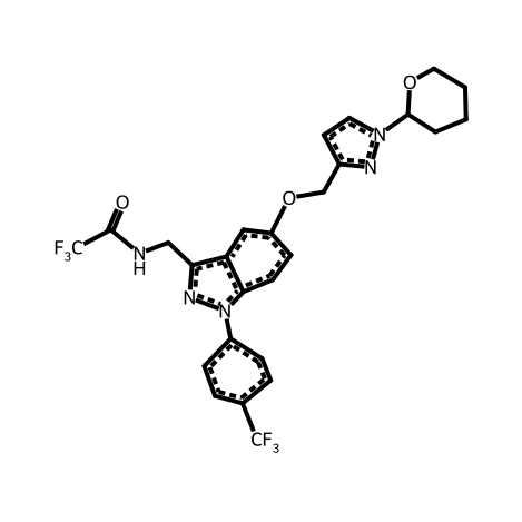 O=C(NCc1nn(-c2ccc(C(F)(F)F)cc2)c2ccc(OCc3ccn(C4CCCCO4)n3)cc12)C(F)(F)F